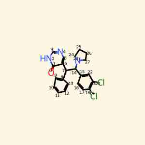 O=c1[nH]cncc1C(c1ccccc1)C(c1ccc(Cl)c(Cl)c1)N1CCCC1